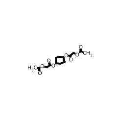 CC(=O)OCC(=O)OC1CCC(OC(=O)COC(C)=O)CC1